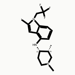 C[C@@H]1CN(C)CC[C@@H]1Nc1cccc2c1cc(I)n2CC(F)(F)F